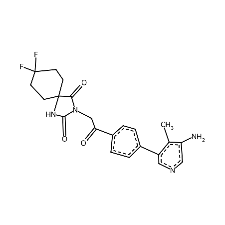 Cc1c(N)cncc1-c1ccc(C(=O)CN2C(=O)NC3(CCC(F)(F)CC3)C2=O)cc1